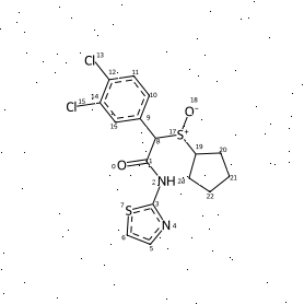 O=C(Nc1nccs1)C(c1ccc(Cl)c(Cl)c1)[S+]([O-])C1CCCC1